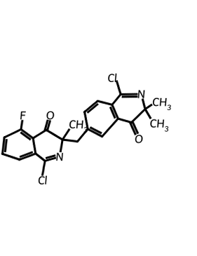 CC1(C)N=C(Cl)c2ccc(CC3(C)N=C(Cl)c4cccc(F)c4C3=O)cc2C1=O